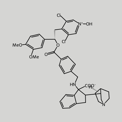 COc1ccc([C@H](Cc2c(Cl)c[n+](O)cc2Cl)OC(=O)c2ccc(CNC3(C(=O)[O-])c4ccccc4CC3[C@@H]3CN4CCC3CC4)cc2)cc1OC